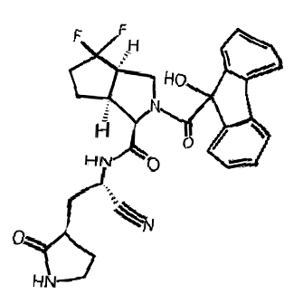 N#C[C@H](C[C@H]1CCNC1=O)NC(=O)[C@H]1[C@H]2CCC(F)(F)[C@H]2CN1C(=O)C1(O)c2ccccc2-c2ccccc21